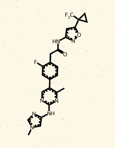 Cc1nc(Nc2cn(C)cn2)ncc1-c1ccc(CC(=O)Nc2cc(C3(C(F)(F)F)CC3)on2)c(F)c1